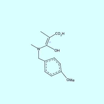 COc1ccc(CN(C)/C(O)=C(\C)C(=O)O)cc1